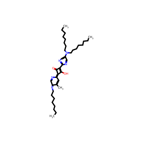 CCCCCCCC/N=C1C=N/C(=C2\C(=O)C(c3ncc(N(CCCCCCCC)CCCCCCCC)cn3)=C2O)C=C/1C